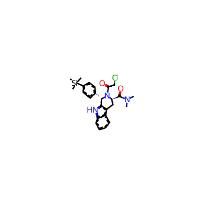 CN(C)C(=O)[C@H]1Cc2c([nH]c3ccccc23)[C@H](c2ccc([Si](C)(C)C)cc2)N1C(=O)CCl